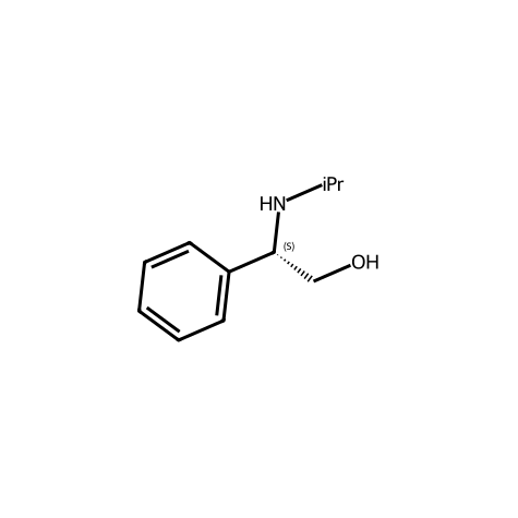 CC(C)N[C@H](CO)c1ccccc1